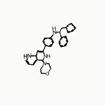 C1=CNC2C=C(c3ccc(NC(Cc4ccccc4)c4ccccc4)cc3)NC(N3CCOCC3)C2=C1